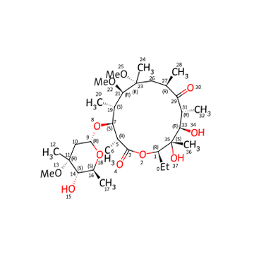 CC[C@H]1OC(=O)[C@H](C)[C@@H](O[C@H]2C[C@@](C)(OC)[C@@H](O)[C@H](C)O2)[C@H](C)[C@@H](OC)[C@](C)(OC)C[C@@H](C)C(=O)[C@H](C)[C@@H](O)[C@]1(C)O